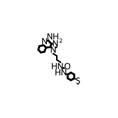 CSc1ccc(NC(=O)NCCCCn2cnc3c(N)nc4ccccc4c32)cc1